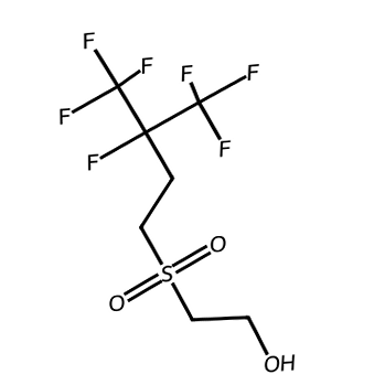 O=S(=O)(CCO)CCC(F)(C(F)(F)F)C(F)(F)F